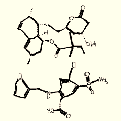 CCC(C)(C)C(=O)O[C@H]1C[C@@H](C)C=C2C=C[C@H](C)[C@H](CC[C@@H]3C[C@@H](O)CC(=O)O3)[C@H]21.NS(=O)(=O)c1cc(C(=O)O)c(NCc2ccco2)cc1Cl